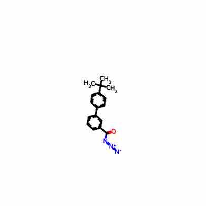 CC(C)(C)c1ccc(-c2cccc(C(=O)N=[N+]=[N-])c2)cc1